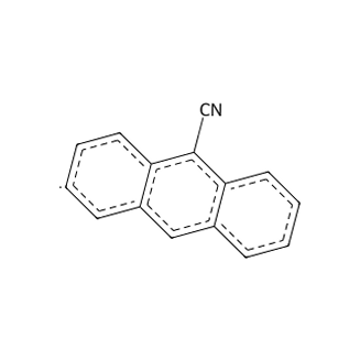 N#Cc1c2cc[c]cc2cc2ccccc12